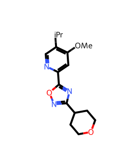 COc1cc(-c2nc(C3CCOCC3)no2)ncc1C(C)C